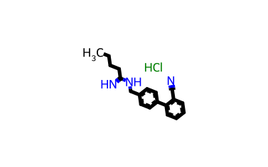 CCCCC(=N)NCc1ccc(-c2ccccc2C#N)cc1.Cl